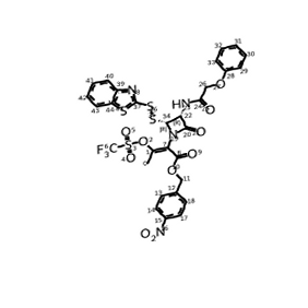 CC(OS(=O)(=O)C(F)(F)F)=C(C(=O)OCc1ccc([N+](=O)[O-])cc1)N1C(=O)[C@@H](NC(=O)COc2ccccc2)[C@H]1SSc1nc2ccccc2s1